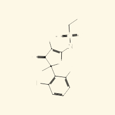 CCS(=O)(=O)NC1=C(O)C(=O)C(C)(c2c(F)cccc2F)O1